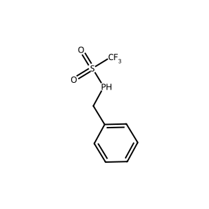 O=S(=O)(PCc1ccccc1)C(F)(F)F